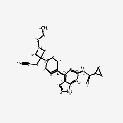 CCSN1CC(CC#N)(N2CC=C(c3cc(NC(=O)C4CC4)nc4[nH]ccc34)CC2)C1